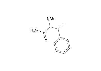 CNC(C(N)=O)C(C)c1ccccc1